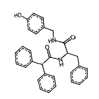 O=C(NCc1ccc(O)cc1)C(Cc1ccccc1)NC(=O)C(c1ccccc1)c1ccccc1